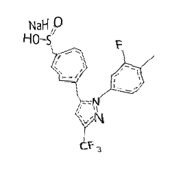 Cc1ccc(-n2nc(C(F)(F)F)cc2-c2ccc(S(=O)O)cc2)cc1F.[NaH]